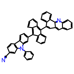 N#Cc1ccc2c3ccc(-c4c5ccccc5c(-c5cc6cc7ccccc7nc6c6ccccc56)c5ccccc45)cc3n(-c3ccccc3)c2c1